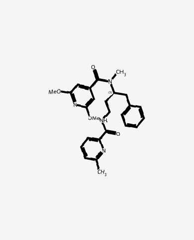 COc1cc(C(=O)N(C)[C@H](CCNC(=O)c2cccc(C)n2)Cc2ccccc2)cc(OC)n1